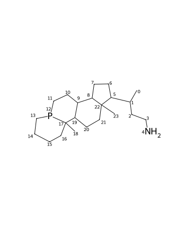 CC(CCN)C1CCC2C3CCP4CCCCC4(C)C3CCC12C